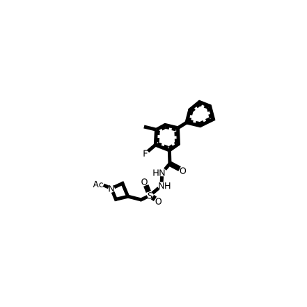 CC(=O)N1CC(CS(=O)(=O)NNC(=O)c2cc(-c3ccccc3)cc(C)c2F)C1